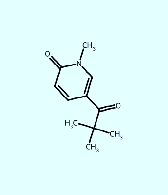 Cn1cc(C(=O)C(C)(C)C)ccc1=O